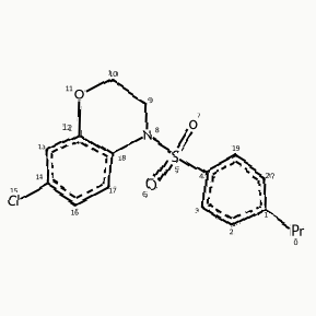 CC(C)c1ccc(S(=O)(=O)N2CCOc3cc(Cl)ccc32)cc1